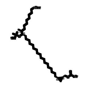 CCCCCCCCCCCCCCCCCC[C@H](C)[C@H](CCCCCCCCCCCCCCCCCC[C@H]1C[C@H]1COC(=O)CCC)O[Si](C)(C)C(C)(C)C